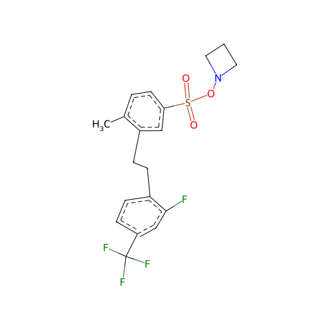 Cc1ccc(S(=O)(=O)ON2CCC2)cc1CCc1ccc(C(F)(F)F)cc1F